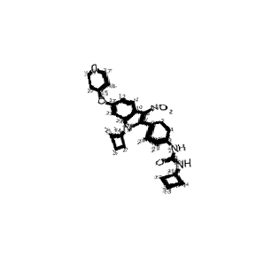 O=C(Nc1ccc(-c2c([N+](=O)[O-])c3ccc(OC4CCOCC4)cc3n2C2CCC2)cc1)NC1CCC1